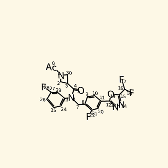 CC(=O)N1CC(C(=O)N(Cc2ccc(-c3nnc(C(F)F)o3)cc2F)c2cccc(F)c2)C1